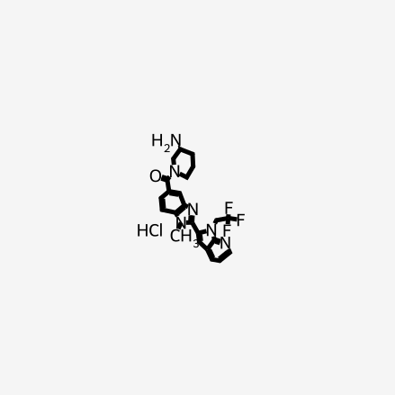 Cl.Cn1c(-c2cc3cccnc3n2CC(F)(F)F)nc2cc(C(=O)N3CCC[C@@H](N)C3)ccc21